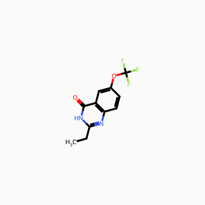 CCc1nc2ccc(OC(F)(F)F)cc2c(=O)[nH]1